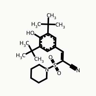 CC(C)(C)c1cc(/C=C(/C#N)S(=O)(=O)N2CCCCC2)cc(C(C)(C)C)c1O